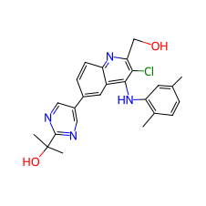 Cc1ccc(C)c(Nc2c(Cl)c(CO)nc3ccc(-c4cnc(C(C)(C)O)nc4)cc23)c1